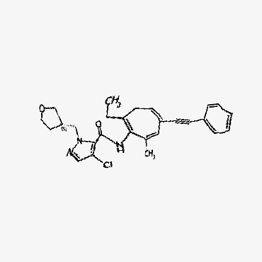 CCC1=C(NC(=O)c2c(Cl)cnn2C[C@@H]2CCOC2)C(C)=CC(C#Cc2ccccc2)=CC1